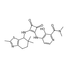 Cc1nc2c(s1)C(Nc1c(Nc3ccnc(C(=O)N(C)C)c3O)c(=O)c1=O)C(C)(C)CC2